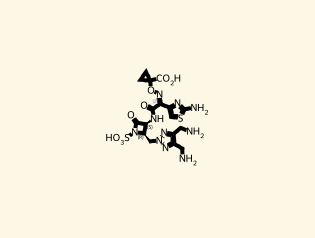 NCc1nn(C[C@@H]2[C@H](NC(=O)/C(=N\OC3(C(=O)O)CC3)c3csc(N)n3)C(=O)N2S(=O)(=O)O)nc1CN